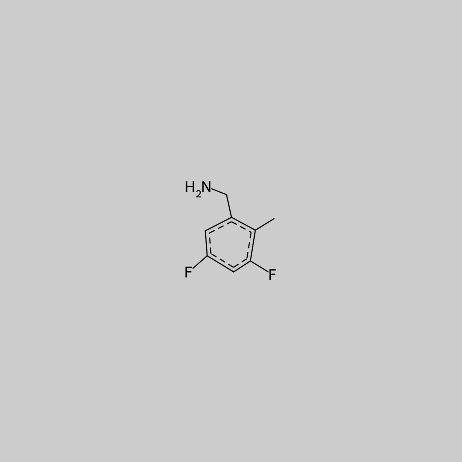 Cc1c(F)cc(F)cc1CN